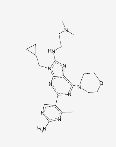 Cc1nc(N)ncc1-c1nc(N2CCOCC2)c2nc(NCCN(C)C)n(CC3CC3)c2n1